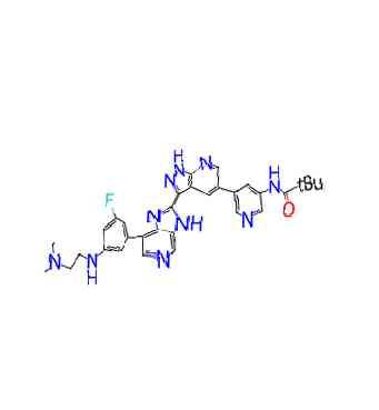 CN(C)CCNc1cc(F)cc(-c2cncc3[nH]c(-c4n[nH]c5ncc(-c6cncc(NC(=O)C(C)(C)C)c6)cc45)nc23)c1